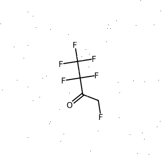 O=C(CF)C(F)(F)C(F)(F)F